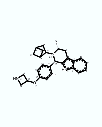 C[C@@H]1Cc2c([nH]c3ccccc23)[C@@H](c2ccc(OC3CNC3)cc2)N1C1CC2CC1C2